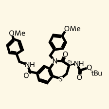 COc1ccc(CNC(=O)c2ccc3c(c2)N(Cc2ccc(OC)cc2)C(=O)[C@@H](NC(=O)OC(C)(C)C)CS3)cc1